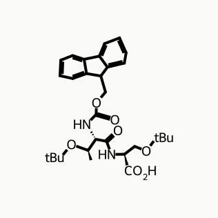 C[C@@H](OC(C)(C)C)[C@H](NC(=O)OCC1c2ccccc2-c2ccccc21)C(=O)N[C@@H](COC(C)(C)C)C(=O)O